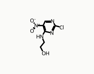 O=[N+]([O-])c1cnc(Cl)nc1NCCO